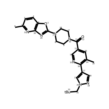 Cc1ccc2oc(N3CCN(C(=O)c4cnc(-c5cnn(CC(C)(C)C)c5)c(C)c4)CC3)nc2n1